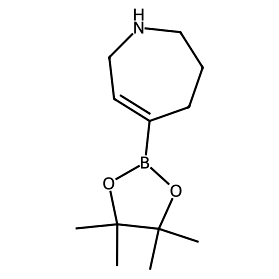 CC1(C)OB(C2=CCNCCC2)OC1(C)C